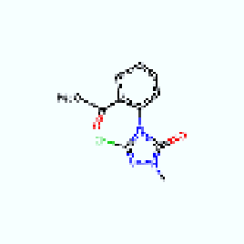 COC(=O)c1ccccc1-n1c(Cl)nn(C)c1=O